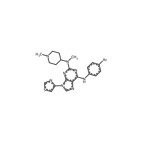 CC(=O)c1ccc(Nc2nc(N(C)C3CCN(C)CC3)nc3c2ncn3-c2cscn2)cc1